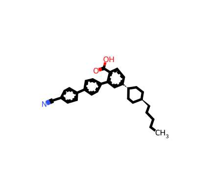 CCCCC[C@H]1CC[C@H](c2ccc(C(=O)O)c(-c3ccc(-c4ccc(C#N)cc4)cc3)c2)CC1